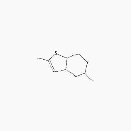 CC1=CC2CC(C)CCC2S1